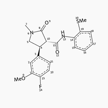 COc1cc([C@H]2CN(C)C(=O)[C@@H]2C(=O)Nc2ccccc2SC)ccc1F